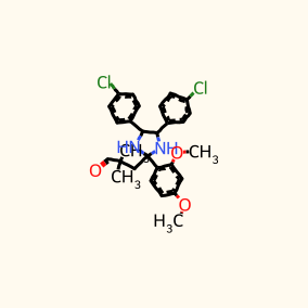 COc1ccc(C2(CC(C)(C)C=O)NC(c3ccc(Cl)cc3)C(c3ccc(Cl)cc3)N2)c(OC)c1